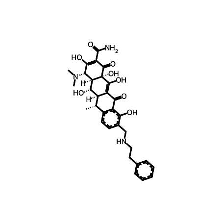 C[C@H]1c2ccc(CNCCc3ccccc3)c(O)c2C(=O)C2=C(O)[C@]3(O)C(=O)C(C(N)=O)=C(O)[C@@H](N(C)C)[C@@H]3[C@@H](O)[C@@H]21